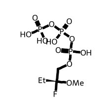 CC[C@@](F)(COP(=O)(O)OP(=O)(O)OP(=O)(O)O)OC